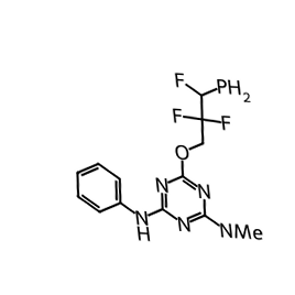 CNc1nc(Nc2ccccc2)nc(OCC(F)(F)C(F)P)n1